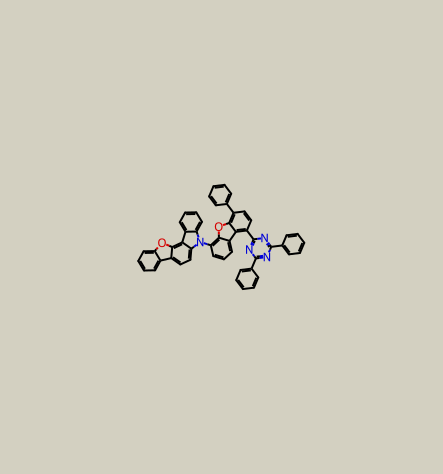 c1ccc(-c2nc(-c3ccccc3)nc(-c3ccc(-c4ccccc4)c4oc5c(-n6c7ccccc7c7c8oc9ccccc9c8ccc76)cccc5c34)n2)cc1